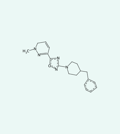 CN1CC=CC(c2nc(N3CCC(Cc4ccccc4)CC3)no2)=N1